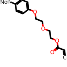 C=CC(=O)OCCOCCOc1ccc(CCCCCCCCC)cc1